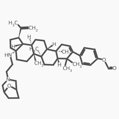 C=C(C)[C@@H]1CC[C@]2(NCCN3CC4CCC(C3)O4)CC[C@]3(C)[C@H](CC[C@@H]4[C@@]5(C)CC=C(c6ccc(OC=O)cc6)C(C)(C)[C@@H]5CC[C@]43C)[C@@H]12